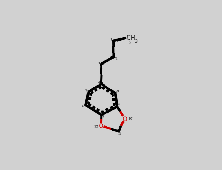 CCCCc1ccc2c(c1)OCO2